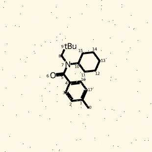 Cc1ccc(C(=O)N(CC(C)(C)C)C2CCCCC2)cc1